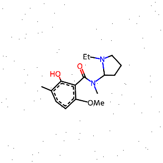 CCN1CCCC1N(C)C(=O)c1c(OC)ccc(C)c1O